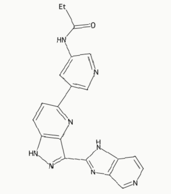 CCC(=O)Nc1cncc(-c2ccc3[nH]nc(-c4nc5cnccc5[nH]4)c3n2)c1